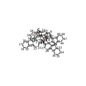 C1=CC2(C3=Cc4ccccc4C3=C1)C1=Cc3ccccc3C1=CC=C2N(C1=CC=C2C(=Cc3ccccc32)C12C=CC=C1C2=Cc2ccccc21)c1cccc2sc3ccccc3c12